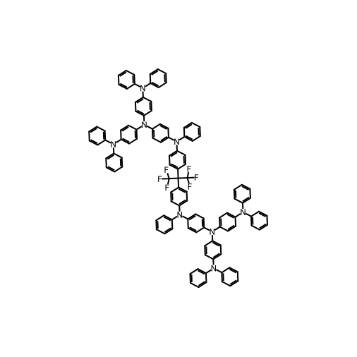 FC(F)(F)C(c1ccc(N(c2ccccc2)c2ccc(N(c3ccc(N(c4ccccc4)c4ccccc4)cc3)c3ccc(N(c4ccccc4)c4ccccc4)cc3)cc2)cc1)(c1ccc(N(c2ccccc2)c2ccc(N(c3ccc(N(c4ccccc4)c4ccccc4)cc3)c3ccc(N(c4ccccc4)c4ccccc4)cc3)cc2)cc1)C(F)(F)F